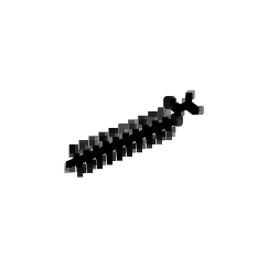 C=C(C)C(=O)OC(F)(F)C(F)(F)C(F)(F)C(F)(F)C(F)(F)C(F)(F)C(F)(F)C(F)(F)C(F)(F)C(C)(F)F